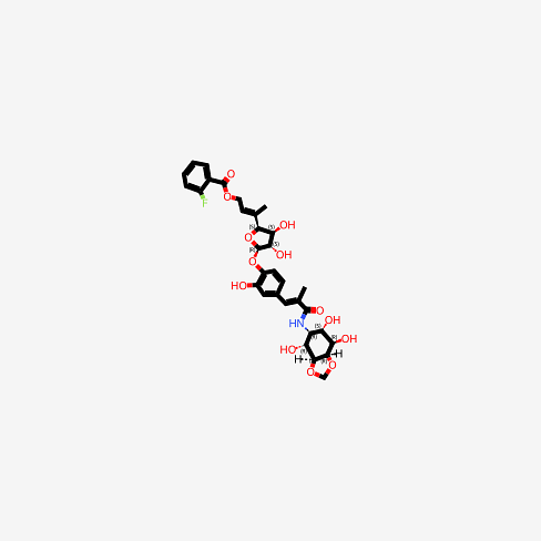 CC(=Cc1ccc(O[C@H]2O[C@@H](C(C)=CCOC(=O)c3ccccc3F)[C@@H](O)[C@@H]2O)c(O)c1)C(=O)N[C@@H]1[C@H](O)[C@@H](O)[C@H]2OCO[C@H]2[C@@H]1O